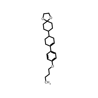 CCCCOc1ccc(C2=CCC(C3CCC4(CC3)OCCO4)CC2)cc1